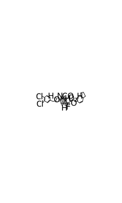 N[C@]1(C(=O)O)[C@H]2[C@@H](C[C@H]1OCc1ccc(Cl)c(Cl)c1)[C@]2(F)C(=O)Oc1ccc2c(c1)CCC2